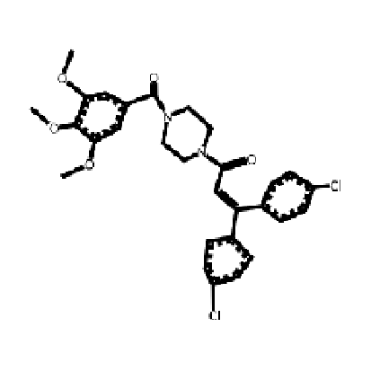 COc1cc(C(=O)N2CCN(C(=O)C=C(c3ccc(Cl)cc3)c3ccc(Cl)cc3)CC2)cc(OC)c1OC